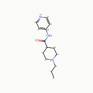 CCCN1CCC(C(=O)Nc2ccncc2)CC1